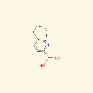 OC(O)c1ccc2c(n1)CCCC2